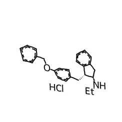 CCN[C@@H]1Cc2ccccc2[C@H]1Cc1ccc(OCc2ccccc2)cc1.Cl